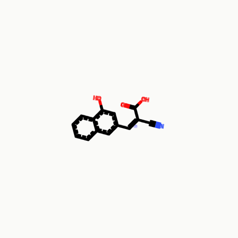 N#C/C(=C/c1cc(O)c2ccccc2c1)C(=O)O